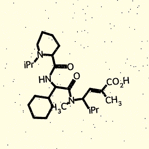 C/C(=C\C(C(C)C)N(C)C(=O)C(NC(=O)C1CCCCN1C(C)C)C1CCCCC1)C(=O)O